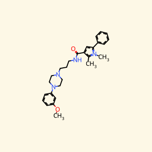 COc1cccc(N2CCN(CCCNC(=O)c3cc(-c4ccccc4)n(C)c3C)CC2)c1